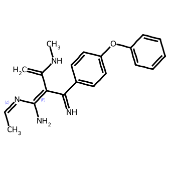 C=C(NC)/C(C(=N)c1ccc(Oc2ccccc2)cc1)=C(N)\N=C/C